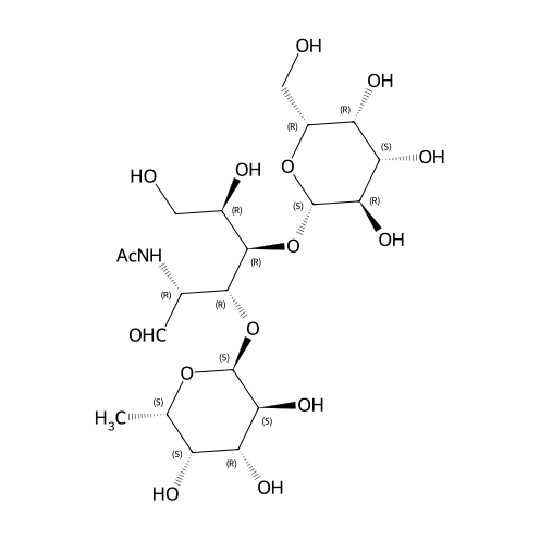 CC(=O)N[C@@H](C=O)[C@@H](O[C@@H]1O[C@@H](C)[C@@H](O)[C@@H](O)[C@@H]1O)[C@H](O[C@@H]1O[C@H](CO)[C@H](O)[C@H](O)[C@H]1O)[C@H](O)CO